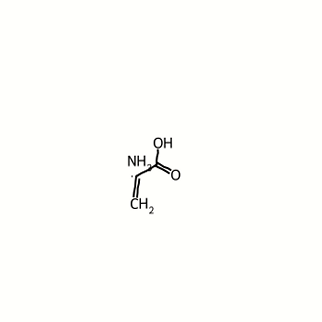 C=[C]C(=O)O.N